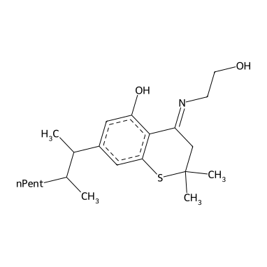 CCCCCC(C)C(C)c1cc(O)c2c(c1)SC(C)(C)CC2=NCCO